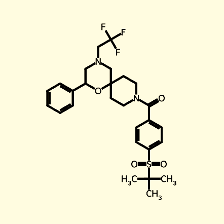 CC(C)(C)S(=O)(=O)c1ccc(C(=O)N2CCC3(CC2)CN(CC(F)(F)F)CC(c2ccccc2)O3)cc1